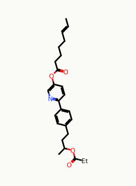 C/C=C/CCCCC(=O)Oc1ccc(-c2ccc(CCC(C)OC(=O)CC)cc2)nc1